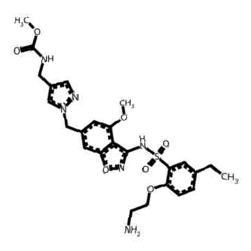 CCc1ccc(OCCN)c(S(=O)(=O)Nc2noc3cc(Cn4cc(CNC(=O)OC)cn4)cc(OC)c23)c1